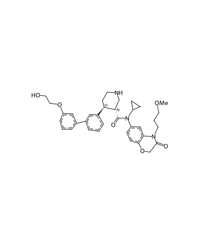 COCCCN1C(=O)COc2ccc(N(C(=O)[C@H]3CNCC[C@@H]3c3cccc(-c4cccc(OCCO)c4)c3)C3CC3)cc21